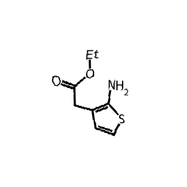 CCOC(=O)Cc1ccsc1N